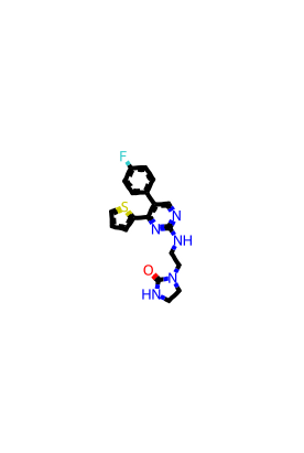 O=C1NCCN1CCNc1ncc(-c2ccc(F)cc2)c(-c2cccs2)n1